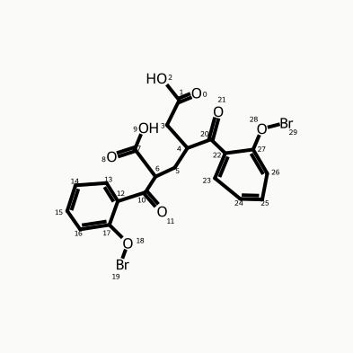 O=C(O)CC(CC(C(=O)O)C(=O)c1ccccc1OBr)C(=O)c1ccccc1OBr